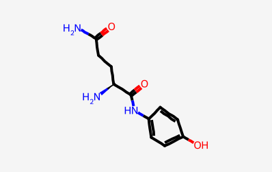 NC(=O)CC[C@H](N)C(=O)Nc1ccc(O)cc1